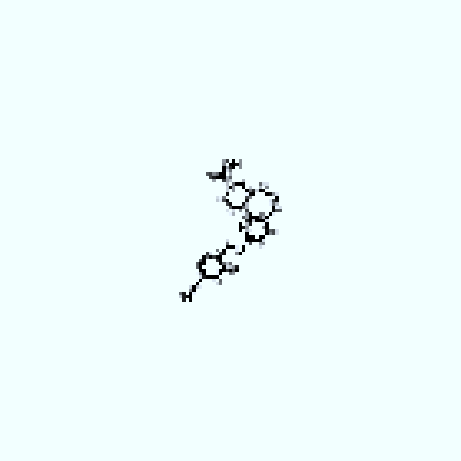 N#Cc1ccc(COc2ccc3c(n2)N2CCN(C(=O)O)CC2COC3)c(F)c1